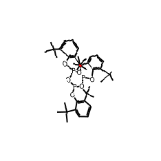 CC(C)(C)c1cccc(C(C)(C)C)c1OP1OP(Oc2c(C(C)(C)C)cccc2C(C)(C)C)OP(Oc2c(C(C)(C)C)cccc2C(C)(C)C)O1